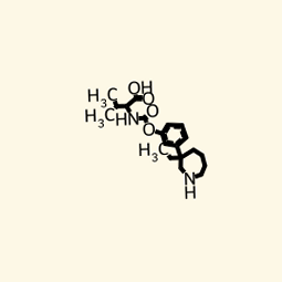 CCC1(c2cccc(OC(=O)NC(C(=O)O)C(C)C)c2)CCCCNC1